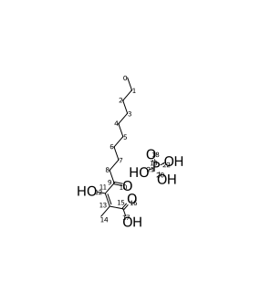 CCCCCCCCCC(=O)C(O)=C(C)C(=O)O.O=P(O)(O)O